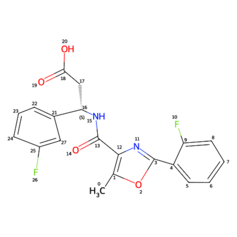 Cc1oc(-c2ccccc2F)nc1C(=O)N[C@@H](CC(=O)O)c1cccc(F)c1